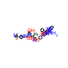 Cc1ncsc1-c1ccc(CNC(=O)[C@@H]2C[C@@H](O)CN2C(=O)C(c2cc(O[C@H]3CC[C@H](N4CCC(c5cnc(N6C7CCC6CN(c6cc(-c8ccccc8O)nnc6N)C7)nc5)CC4)CC3)no2)C(C)C)cc1